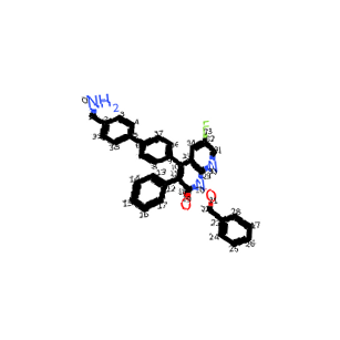 NCc1ccc(-c2ccc(-c3c(-c4ccccc4)c(=O)n(OCc4ccccc4)c4ncc(F)cc34)cc2)cc1